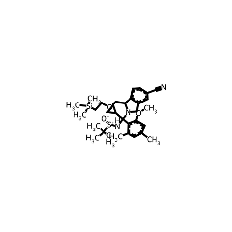 COc1cc(C)cc(C)c1C(N[S+]([O-])C(C)(C)C)(C1CC1)N1Cc2cc(C#N)ccc2C1COCC[Si](C)(C)C